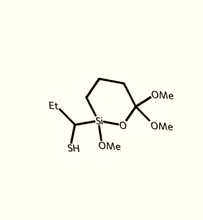 CCC(S)[Si]1(OC)CCCC(OC)(OC)O1